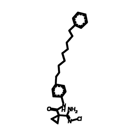 N/C(=N\Cl)C1(C(=O)Nc2ccc(CCCCCCCCCc3ccccc3)cc2)CC1